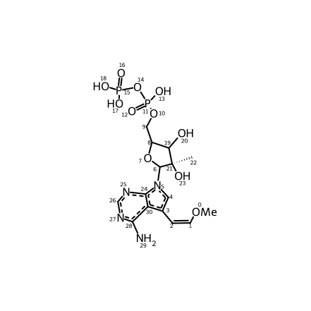 CO/C=C\c1cn(C2OC(COP(=O)(O)OP(=O)(O)O)C(O)[C@@]2(C)O)c2ncnc(N)c12